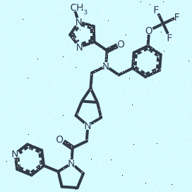 Cn1cnc(C(=O)N(Cc2cccc(OC(F)(F)F)c2)CC2C3CN(CC(=O)N4CCCC4c4ccncc4)CC32)c1